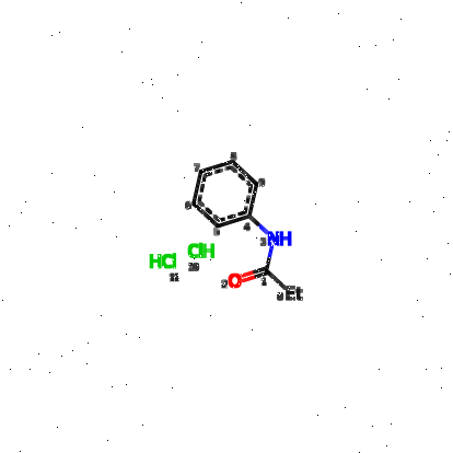 CCC(=O)Nc1ccccc1.Cl.Cl